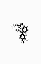 CO[C@@]1(c2ccc(Cl)c(Cl)c2)CCCC[C@H]1CN(C)C